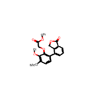 CCCOC(=O)COc1c(-c2cccc3c2COC3=O)ccc(OC)c1OCC